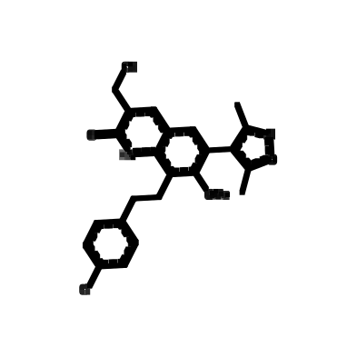 COc1c(-c2c(C)noc2C)cc2cc(CC#N)c(=O)[nH]c2c1CCc1ccc(Cl)cc1